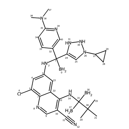 BC(Nc1cc(Cl)c2ncc(C#N)c(NC(B)(B)C(C)(C)C)c2c1)(C1=CN(C2CC2)NN1)c1ccc(N(C)C)nc1